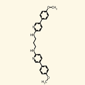 COc1ccc(-c2ccc(NCCCNc3ccc(-c4ccc(OC)cc4)cn3)nc2)cc1